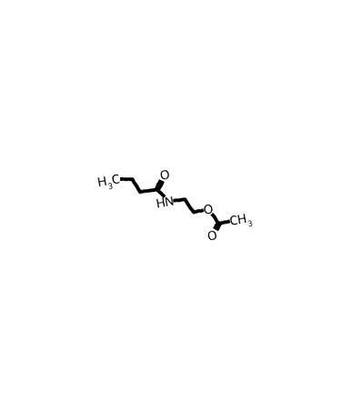 CCCC(=O)NCCOC(C)=O